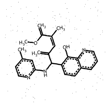 C=C(OC)/C(C)=C\C(=C)C(Nc1cc(C)ccn1)c1ccc2cccnc2c1O